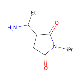 CCC(N)C1CC(=O)N(C(C)C)C1=O